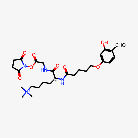 C[N+](C)(C)CCCC[C@H](NC(=O)CCCCOc1ccc(C=O)c(O)c1)C(=O)NCC(=O)ON1C(=O)CCC1=O